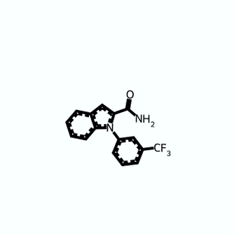 NC(=O)c1cc2ccccc2n1-c1cccc(C(F)(F)F)c1